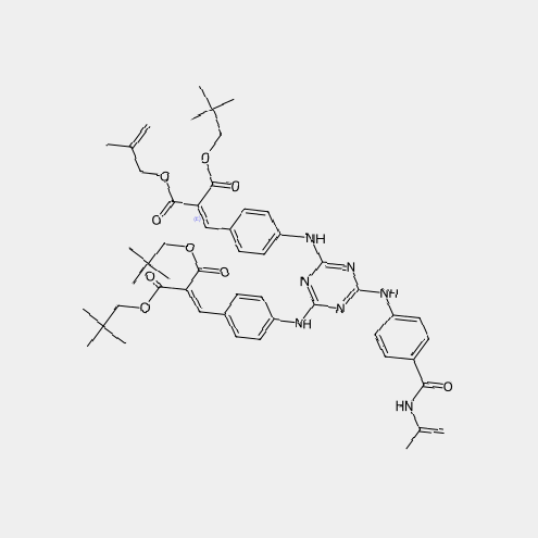 C=C(C)COC(=O)/C(=C/c1ccc(Nc2nc(Nc3ccc(C=C(C(=O)OCC(C)(C)C)C(=O)OCC(C)(C)C)cc3)nc(Nc3ccc(C(=O)NC(=C)C)cc3)n2)cc1)C(=O)OCC(C)(C)C